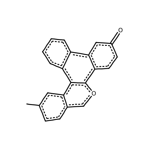 Cc1ccc2coc3c4ccc(=O)cc4c4ccccc4c3c2c1